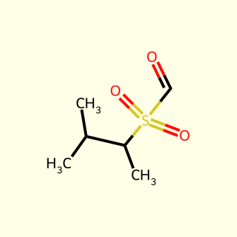 CC(C)C(C)S(=O)(=O)C=O